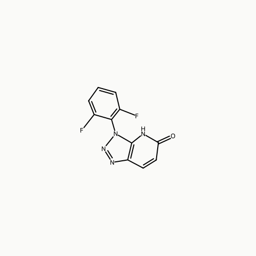 O=c1ccc2nnn(-c3c(F)cccc3F)c2[nH]1